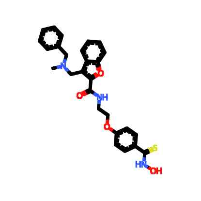 CN(Cc1ccccc1)Cc1c(C(=O)NCCOc2ccc(C(=S)NO)cc2)oc2ccccc12